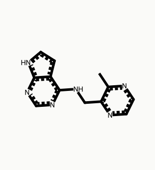 Cc1nccnc1CNc1ncnc2[nH]ccc12